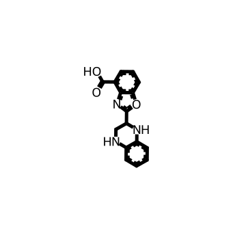 O=C(O)c1cccc2oc(C3CNc4ccccc4N3)nc12